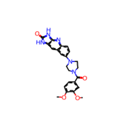 COc1ccc(C(=O)N2CCN(c3ccc4nc5[nH]c(=O)[nH]c5cc4c3)CC2)cc1OC